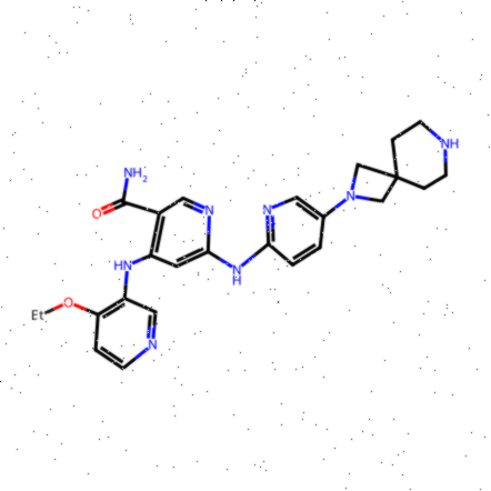 CCOc1ccncc1Nc1cc(Nc2ccc(N3CC4(CCNCC4)C3)cn2)ncc1C(N)=O